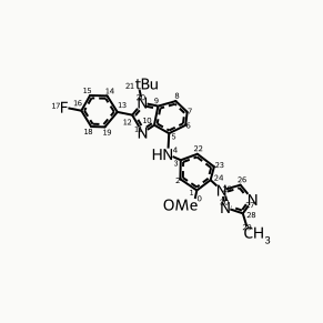 COc1cc(Nc2cccc3c2nc(-c2ccc(F)cc2)n3C(C)(C)C)ccc1-n1cnc(C)n1